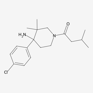 CC(C)CC(=O)N1CCC(N)(c2ccc(Cl)cc2)C(C)(C)C1